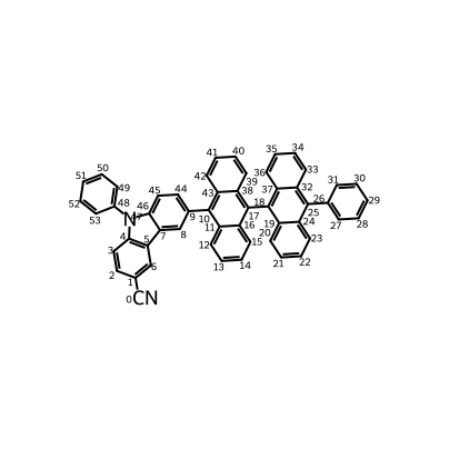 N#Cc1ccc2c(c1)c1cc(-c3c4ccccc4c(-c4c5ccccc5c(-c5ccccc5)c5ccccc45)c4ccccc34)ccc1n2-c1ccccc1